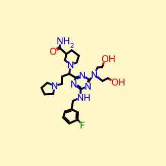 NC(=O)C1CCCN(C(CCN2CCCC2)c2nc(NCc3cccc(F)c3)nc(N(CCO)CCO)n2)C1